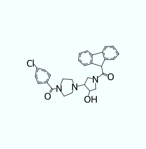 O=C(c1ccc(Cl)cc1)N1CCN(C2CN(C(=O)C3c4ccccc4-c4ccccc43)CC2O)CC1